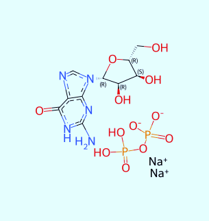 Nc1nc2c(ncn2[C@@H]2O[C@H](CO)[C@@H](O)[C@H]2O)c(=O)[nH]1.O=P([O-])([O-])OP(=O)(O)O.[Na+].[Na+]